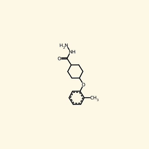 Cc1ccccc1OC1CCC(C(=O)NN)CC1